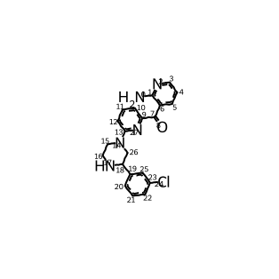 Nc1ncccc1C(=O)c1cccc(N2CCNC(c3cccc(Cl)c3)C2)n1